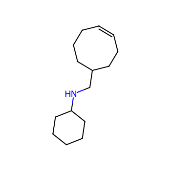 C1=C\CCC(CNC2CCCCC2)CCC/1